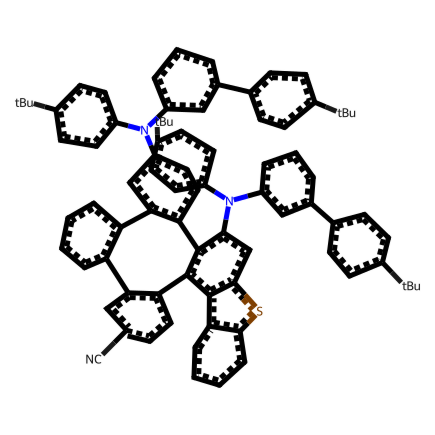 CC(C)(C)c1ccc(-c2cccc(N(c3ccc(C(C)(C)C)cc3)c3ccc4c(c3)-c3ccccc3-c3cc(C#N)ccc3-c3c-4c(N(c4ccc(C(C)(C)C)cc4)c4cccc(-c5ccc(C(C)(C)C)cc5)c4)cc4sc5ccccc5c34)c2)cc1